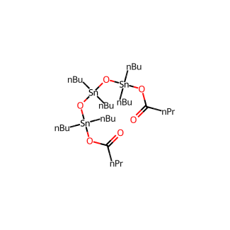 CCC[CH2][Sn]([CH2]CCC)([O]C(=O)CCC)[O][Sn]([CH2]CCC)([CH2]CCC)[O][Sn]([CH2]CCC)([CH2]CCC)[O]C(=O)CCC